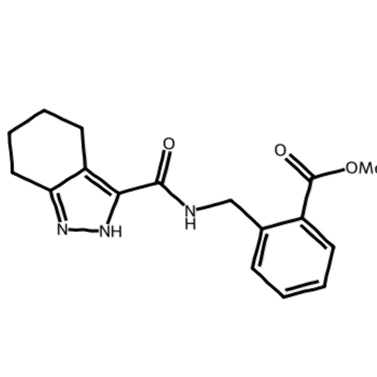 COC(=O)c1ccccc1CNC(=O)c1[nH]nc2c1CCCC2